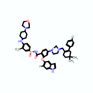 CC1(C)CCC(CN2CCN(c3ccc(C(=O)N[S+]([O-])c4ccc(NC5CCC(N6CCOCC6)CC5)c([N+](=O)[O-])c4)c(Oc4cc5cc[nH]c5cc4F)c3)CC2)=C(c2ccc(Cl)cc2)C1